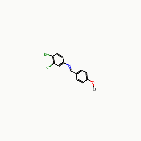 CCOc1ccc(C=Nc2ccc(Br)c(Cl)c2)cc1